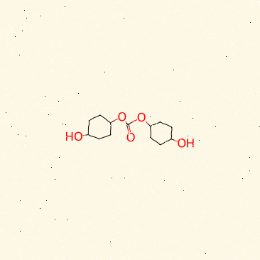 O=C(OC1CCC(O)CC1)OC1CCC(O)CC1